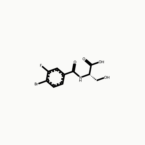 O=C(N[C@@H](CO)C(=O)O)c1ccc(Br)c(F)c1